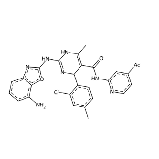 CC(=O)c1ccnc(NC(=O)C2=C(C)NC(Nc3nc4cccc(N)c4o3)=NC2c2ccc(C)cc2Cl)c1